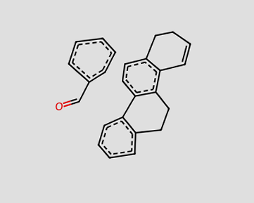 C1=Cc2c(ccc3c2CCc2ccccc2-3)CC1.O=Cc1ccccc1